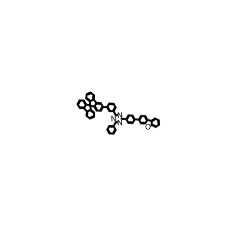 c1ccc(-c2nc(-c3ccc(-c4ccc5c(c4)oc4ccccc45)cc3)nc(-c3cccc(-c4ccc5c(c4)-c4ccccc4C54c5ccccc5-c5ccccc54)c3)n2)cc1